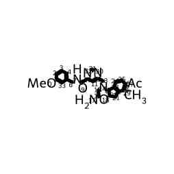 COc1cccc(CNC(=O)c2cc(CN(CC(N)=O)C3CCc4c3ccc(C(C)=O)c4C)ncn2)c1